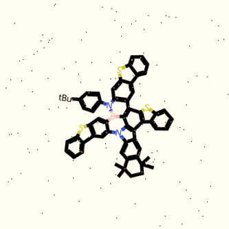 CC(C)(C)c1ccc(N2B3c4cc5sc6ccccc6c5cc4-n4c5cc6c(cc5c5c7c(sc8ccccc87)c(c3c54)-c3cc4c(cc32)sc2ccccc24)C(C)(C)CCC6(C)C)cc1